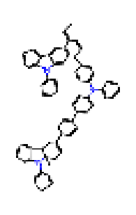 C/C=C(\C=C/Cc1ccc(N(c2ccccc2)c2ccc(C3=CCC(C4=CCC5(C)C(C4)c4ccccc4N5C4=CCCC=C4)C=C3)cc2)cc1)c1ccc2c(c1)c1ccccc1n2-c1ccccc1